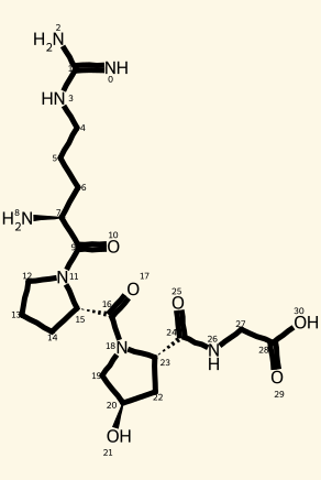 N=C(N)NCCC[C@H](N)C(=O)N1CCC[C@H]1C(=O)N1C[C@H](O)C[C@H]1C(=O)NCC(=O)O